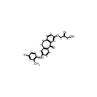 Cc1cc(F)ccc1Nc1ccc2c(c1)CCc1ccc(OCC(=O)CO)cc1C2=O